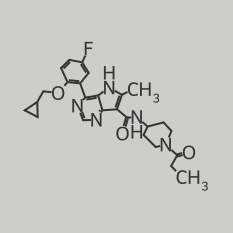 CCC(=O)N1CCC(NC(=O)c2c(C)[nH]c3c(-c4cc(F)ccc4OCC4CC4)ncnc23)CC1